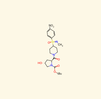 CN=S(=O)(c1ccc([N+](=O)[O-])cc1)C1CCN(C(=O)[C@@H]2C[C@@H](O)CN2C(=O)OC(C)(C)C)CC1